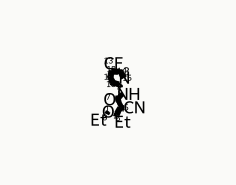 CCO/C(CC)=C(/C#N)C(=O)Nc1ccc(C(F)(F)F)cn1